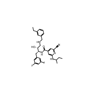 CCc1cccc(CNC[C@@H](O)[C@H](Cc2cc(F)cc(F)c2)NC(=O)c2cc(C#N)nc(NC(C)CC)c2)c1